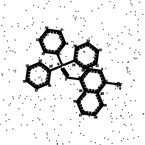 Brc1ccc(C=P(c2ccccc2)(c2ccccc2)c2ccccc2)c2ccccc12